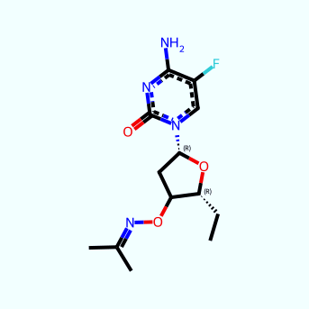 CC[C@H]1O[C@@H](n2cc(F)c(N)nc2=O)CC1ON=C(C)C